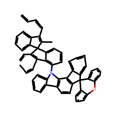 C=C/C=C\C1=C(C)C2(C(C=C)=C(/C=C\C)c3c(-n4c5ccccc5c5ccc6c(c54)-c4ccccc4C64c5ccccc5Oc5ccccc54)cccc32)c2ccccc21